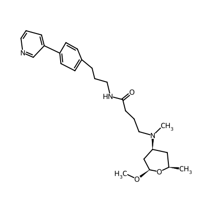 CO[C@H]1C[C@@H](N(C)CCCC(=O)NCCCc2ccc(-c3cccnc3)cc2)C[C@@H](C)O1